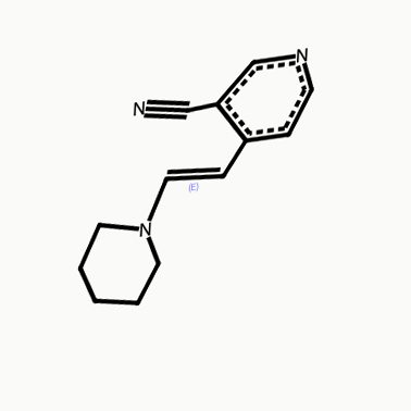 N#Cc1cnccc1/C=C/N1CCCCC1